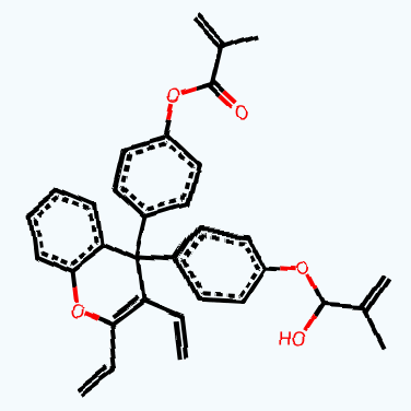 C=CC1=C(C=C)C(c2ccc(OC(=O)C(=C)C)cc2)(c2ccc(OC(O)C(=C)C)cc2)c2ccccc2O1